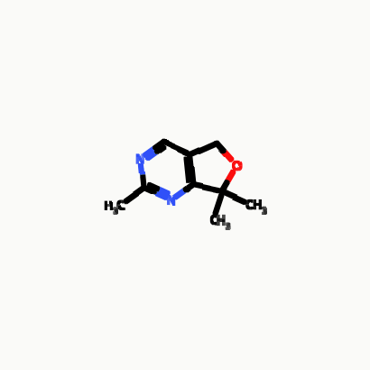 Cc1ncc2c(n1)C(C)(C)OC2